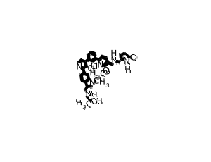 COc1nc(-c2cccc(-c3ccnc(-c4ccc5c(CNC[C@@H](C)O)cn(C)c5c4)c3Cl)c2Cl)ccc1CNC[C@H]1CCC(=O)N1